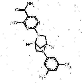 NC(=O)c1cnc(N2C[C@@H]3C[C@H]2CN3c2cc(C(F)(F)F)cc(C(F)(F)F)c2)nc1O